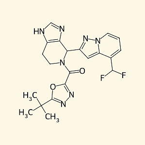 CC(C)(C)c1nnc(C(=O)N2CCc3[nH]cnc3C2c2cc3c(C(F)F)cccn3n2)o1